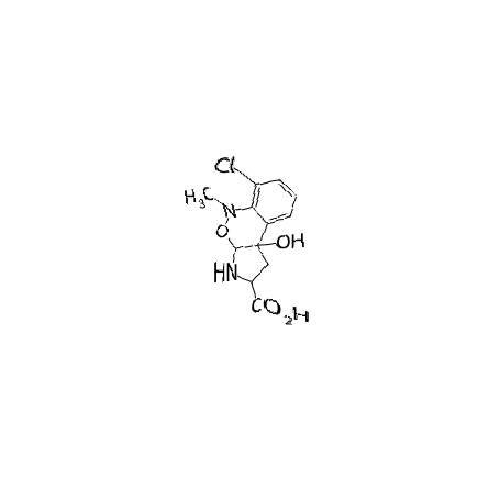 CN1OC2NC(C(=O)O)CC2(O)c2cccc(Cl)c21